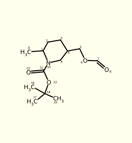 CC1CCC(COC=O)CN1C(=O)OC(C)(C)C